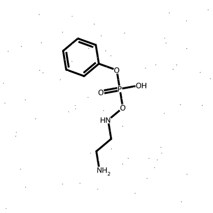 NCCNOP(=O)(O)Oc1ccccc1